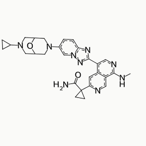 CNc1ncc(-c2nc3ccc(N4CC5CN(C6CC6)CC(C4)O5)cn3n2)c2cc(C3(C(N)=O)CC3)ncc12